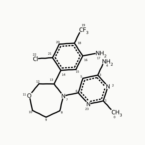 Cc1nc(N)cc(N2CCCOCC2c2cc(N)c(C(F)(F)F)cc2Cl)n1